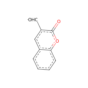 O=[C]c1cc2ccccc2oc1=O